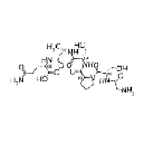 C[C@H](NC(=O)[C@H](CO)NC(=O)[C@@H]1CCCN1C(=O)[C@H](CO)NC(=O)CN)C(=O)N[C@@H](CCC(N)=O)C(=O)O